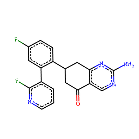 Nc1ncc2c(n1)CC(c1ccc(F)cc1-c1cccnc1F)CC2=O